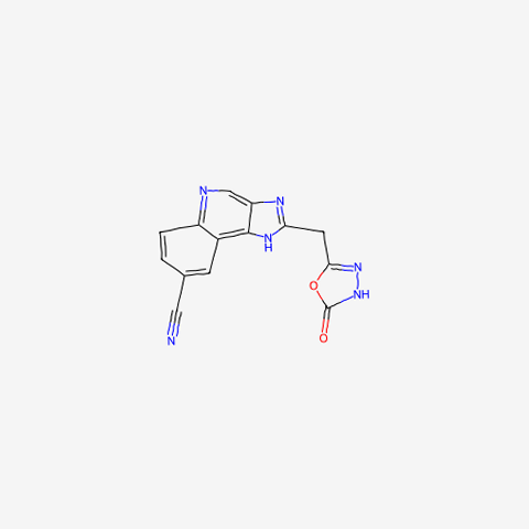 N#Cc1ccc2ncc3nc(Cc4n[nH]c(=O)o4)[nH]c3c2c1